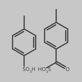 Cc1ccc(C(=O)S(=O)(=O)O)cc1.Cc1ccc(S(=O)(=O)O)cc1